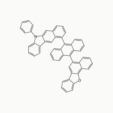 c1ccc(-n2c3ccccc3c3cc4c(-c5c6ccccc6c(-c6cc7c8ccccc8oc7c7ccccc67)c6ccccc56)cccc4cc32)cc1